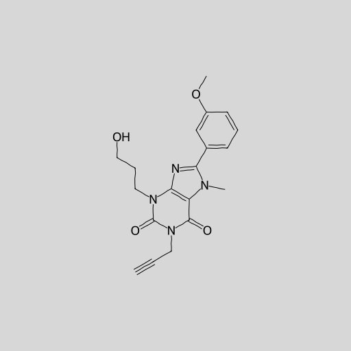 C#CCn1c(=O)c2c(nc(-c3cccc(OC)c3)n2C)n(CCCO)c1=O